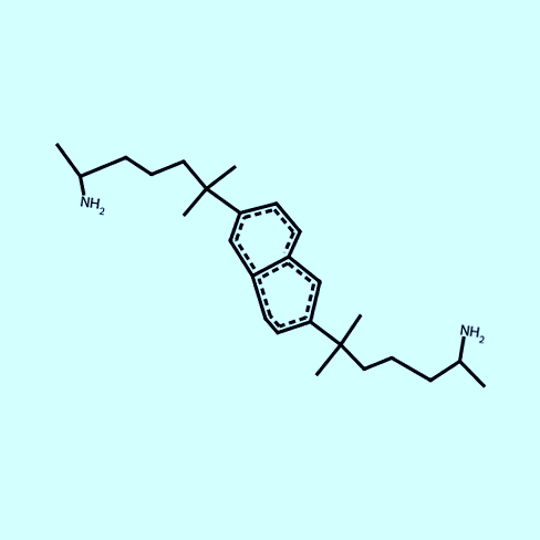 CC(N)CCCC(C)(C)c1ccc2cc(C(C)(C)CCCC(C)N)ccc2c1